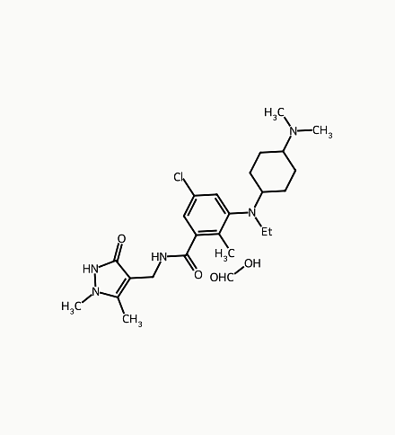 CCN(c1cc(Cl)cc(C(=O)NCc2c(C)n(C)[nH]c2=O)c1C)C1CCC(N(C)C)CC1.O=CO